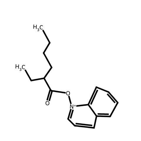 CCCCC(CC)C(=O)O[n+]1cccc2ccccc21